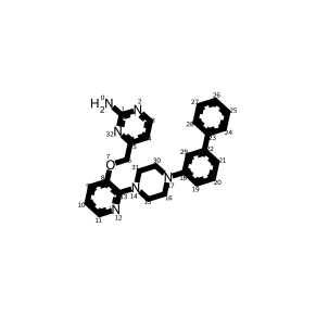 Nc1nccc(COc2cccnc2N2CCN(c3cccc(-c4ccccc4)c3)CC2)n1